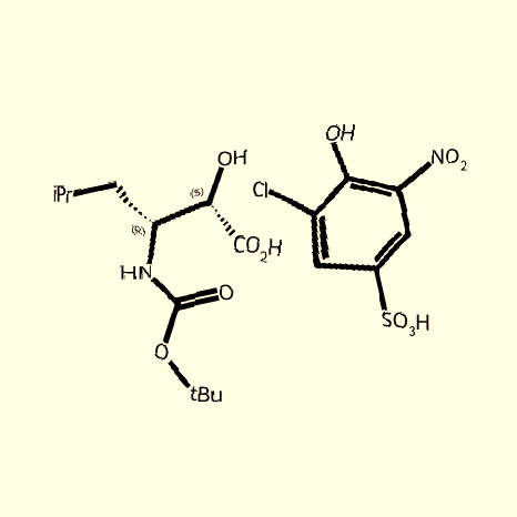 CC(C)C[C@@H](NC(=O)OC(C)(C)C)[C@H](O)C(=O)O.O=[N+]([O-])c1cc(S(=O)(=O)O)cc(Cl)c1O